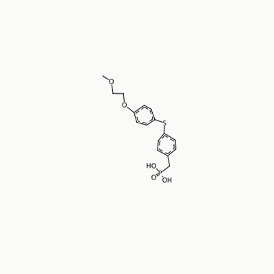 COCCOc1ccc(Sc2ccc(CP(=O)(O)O)cc2)cc1